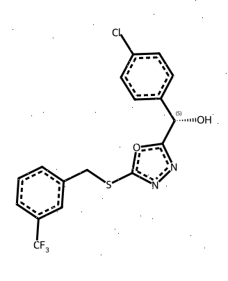 O[C@@H](c1ccc(Cl)cc1)c1nnc(SCc2cccc(C(F)(F)F)c2)o1